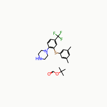 CC(C)(C)OC=O.Cc1cc(C)cc(Sc2cc(C(F)(F)F)ccc2N2CCNCC2)c1